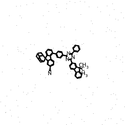 CC1(C)c2ccccc2-c2ccc(-c3nc(-c4ccccc4)nc(-c4ccc(-c5cccc6c5-c5ccc(C#N)cc5C65C6CC7CC(C6)CC5C7)cc4)n3)cc21